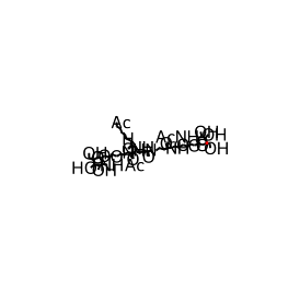 CC(=O)CCCCCCC(=O)NC(CCC(=O)NCCCC(=O)NCCOCCOC1OC(CO)C(O)C(O)C1NC(C)=O)C(=O)NCCOCCOC1OC(CO)C(O)C(O)C1NC(C)=O